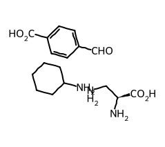 NC1CCCCC1.NC[C@H](N)C(=O)O.O=Cc1ccc(C(=O)O)cc1